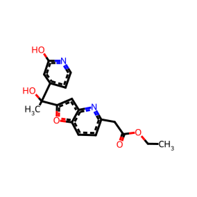 CCOC(=O)Cc1ccc2oc(C(C)(O)c3ccnc(O)c3)cc2n1